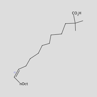 CCCCCCCC/C=C\CCCCCCCCC(C)(C)C(=O)O